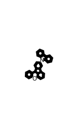 C1=CC2C3C=C(n4c5ccccc5c5ccccc54)C=CC3C3c4ccccc4OC(=C1)C23